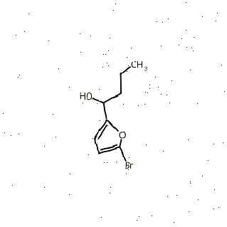 CCCC(O)c1ccc(Br)o1